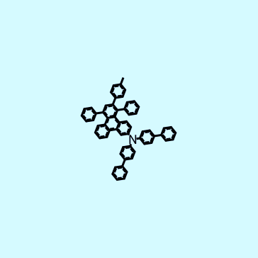 Cc1ccc(-c2cc(-c3ccccc3)c3c4ccccc4c4cc(N(c5ccc(-c6ccccc6)cc5)c5ccc(-c6ccccc6)cc5)ccc4c3c2-c2ccccc2)cc1